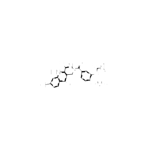 COc1ccc(C(=O)N2Cc3c([nH]c4cc(Cl)ccc4c3=O)C(O)=N2)cc1OC(=O)N(C)C